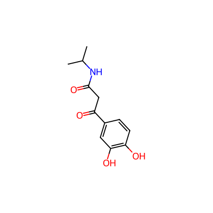 CC(C)NC(=O)CC(=O)c1ccc(O)c(O)c1